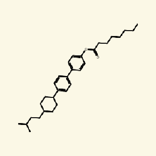 CCCCCCCC(=O)Oc1ccc(-c2ccc(C3CCC(CCC(C)C)CC3)cc2)cc1